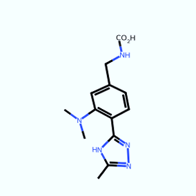 Cc1nnc(-c2ccc(CNC(=O)O)cc2N(C)C)[nH]1